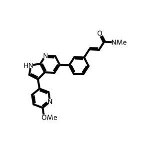 CNC(=O)C=Cc1cccc(-c2cnc3[nH]cc(-c4ccc(OC)nc4)c3c2)c1